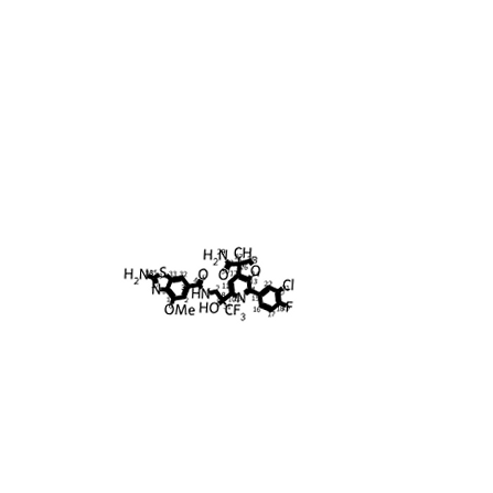 COc1cc(C(=O)NC[C@](O)(c2cc3c(c(-c4ccc(F)c(Cl)c4)n2)OC[C@]3(C)C(N)=O)C(F)(F)F)cc2sc(N)nc12